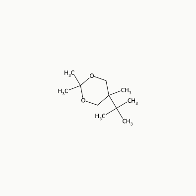 CC1(C)OCC(C)(C(C)(C)C)CO1